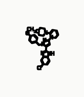 COc1ccc(Cn2nc(N3CC=CC=C3N3CCOCC3)cc2-c2nc3cc(Cl)ccc3[nH]2)cc1